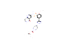 COc1ccc(-c2cnn(C3CCN(C(=O)OC(C)(C)C)CC3)c2)cc1S(=O)(=O)Nc1cnc2c(c1)C(=O)NCC2